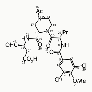 COc1c(Cl)cc(C(=O)N[C@H](C(=O)N2CCN(C(C)=O)C[C@H]2C(=O)N[C@H](C=O)CC(=O)O)C(C)C)cc1Cl